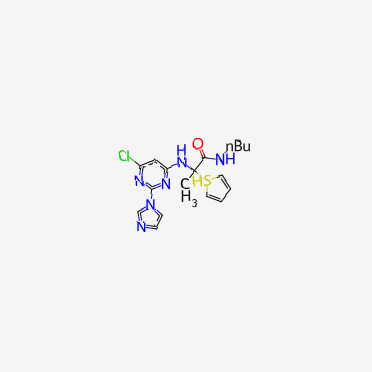 CCCCNC(=O)C(C)(Nc1cc(Cl)nc(-n2ccnc2)n1)[SH]1C=CC=C1